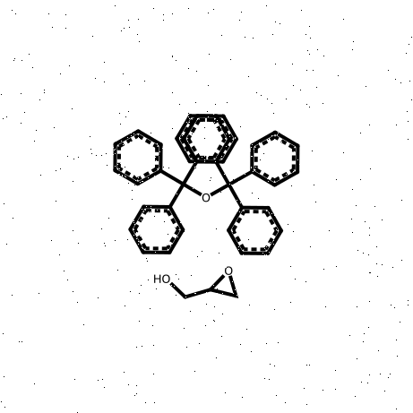 OCC1CO1.c1ccc(C(OC(c2ccccc2)(c2ccccc2)c2ccccc2)(c2ccccc2)c2ccccc2)cc1